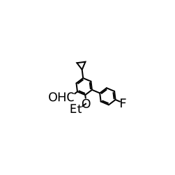 CCOc1c(C=O)cc(C2CC2)cc1-c1ccc(F)cc1